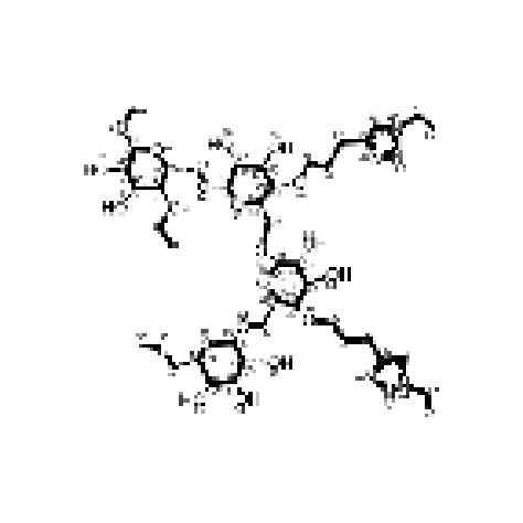 CCO[C@H]1[C@H](O)[C@@H](O)[C@@H](OC)O[C@@H]1CO[C@H]1O[C@H](CO[C@H]2O[C@H](CO[C@H]3O[C@H](COC)[C@@H](O)[C@H](O)[C@H]3O)[C@@H](OCCCc3cn(CC)nn3)[C@H](O)[C@H]2O)[C@@H](OCCCc2cn(CC)nn2)[C@H](O)[C@H]1O